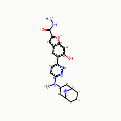 CNC(=O)c1cc2cc(-c3ccc(N(C)C4CC5CCCC(C4)N5)nn3)c(O)cc2o1